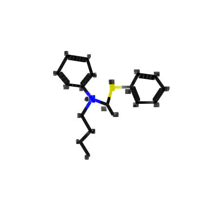 CCCCN(c1ccccc1)C(C)Sc1ccccc1